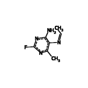 C/C=N\c1c(C)nc(F)nc1N